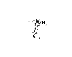 C=C1CC(COc2cc(C)c(Br)c(C)c2)C1